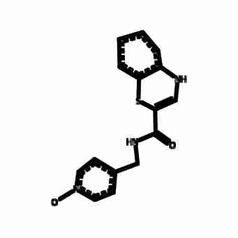 O=C(NCc1cc[n+]([O-])cc1)C1=CNc2ccccc2S1